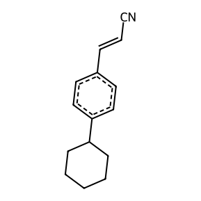 N#CC=Cc1ccc(C2CCCCC2)cc1